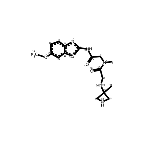 CN(CC(=O)Nc1nc2ccc(OC(F)(F)F)cc2s1)C(=O)CNC1(C)CNC1